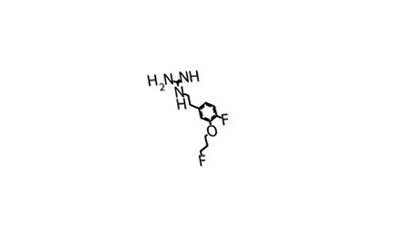 N=C(N)NCCc1ccc(F)c(OCCCF)c1